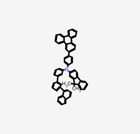 CC1(C)c2ccccc2-c2ccc(N(c3ccc(-c4ccc5c6ccccc6c6ccccc6c5c4)cc3)c3cccc(-c4cccc(-c5cccc6ccccc56)c4)c3)cc21